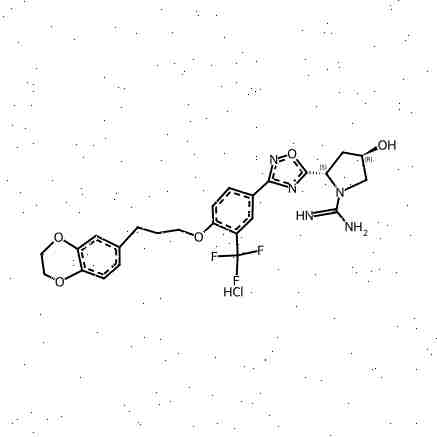 Cl.N=C(N)N1C[C@H](O)C[C@H]1c1nc(-c2ccc(OCCCc3ccc4c(c3)OCCO4)c(C(F)(F)F)c2)no1